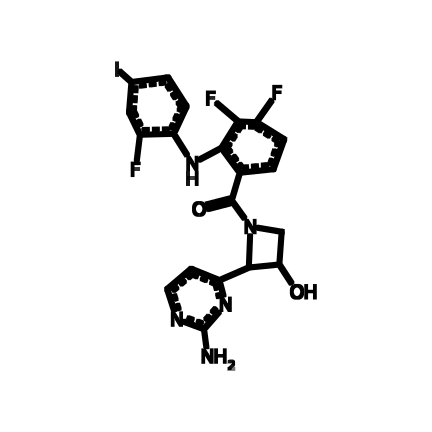 Nc1nccc(C2C(O)CN2C(=O)c2ccc(F)c(F)c2Nc2ccc(I)cc2F)n1